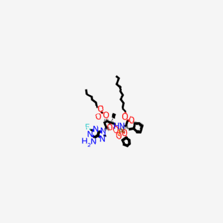 C#C[C@]1(CO[P@@](=O)(N[C@@H](Cc2ccccc2)C(=O)OCCCCCCCCCC)Oc2ccccc2)O[C@@H](n2cnc3c(N)nc(F)nc32)C[C@@H]1OC(=O)OCCCCCC